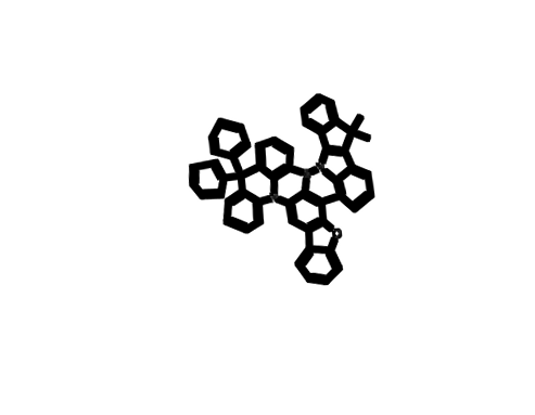 CC1(C)c2ccccc2-c2c1c1cccc3c1n2B1c2cccc4c2N(c2ccccc2C4(c2ccccc2)c2ccccc2)c2cc4c(oc5ccccc54)c-3c21